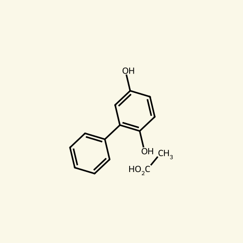 CC(=O)O.Oc1ccc(O)c(-c2ccccc2)c1